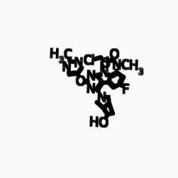 Cc1ncc(Oc2nc(N3CC4CC(O)C4C3)c3c(n2)[nH]c2c(N(C)C(=O)OCCl)cc(F)cc23)cn1